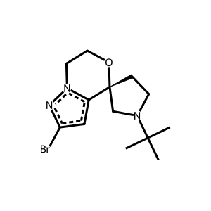 CC(C)(C)N1CC[C@]2(C1)OCCn1nc(Br)cc12